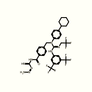 N=C(/N=N\N)NC(=O)c1ccc(CN(/C(=N\CC(F)(F)F)Nc2cc(C(F)(F)F)cc(C(F)(F)F)c2)c2ccc(C3CCCCC3)cc2)cc1